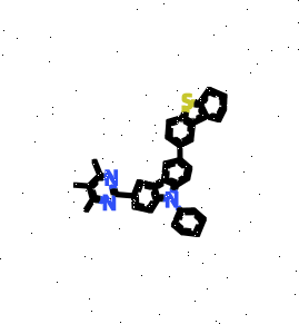 Cc1nc(-c2ccc3c(c2)c2cc(-c4ccc5sc6ccccc6c5c4)ccc2n3-c2ccccc2)nc(C)c1C